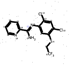 N/C(=N\c1cc(SCC(F)(F)F)c(Cl)cc1Cl)c1ccccn1